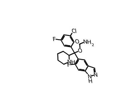 NC(=O)OC(c1cc(F)cc(Cl)c1)(c1cc2cn[nH]c2cc1F)C1CCCCN1